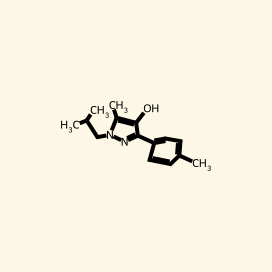 Cc1ccc(-c2nn(CC(C)C)c(C)c2O)cc1